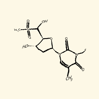 Cc1cn([C@H]2C[C@H](O)[C@@H](C(O)S(C)(=O)=O)O2)c(=O)n(F)c1=O